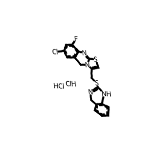 Cl.Cl.Fc1cc(Cl)cc2c1N=C1SC=C(CSC3=NCc4ccccc4N3)N1C2